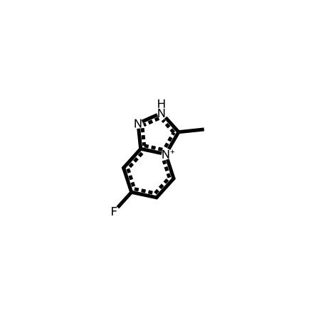 Cc1[nH]nc2cc(F)cc[n+]12